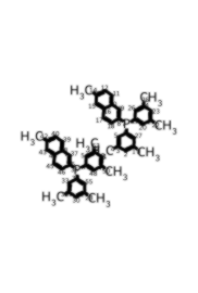 Cc1cc(C)cc(P(c2[c]c3ccc(C)cc3cc2)c2cc(C)cc(C)c2)c1.Cc1cc(C)cc(P(c2[c]c3ccc(C)cc3cc2)c2cc(C)cc(C)c2)c1